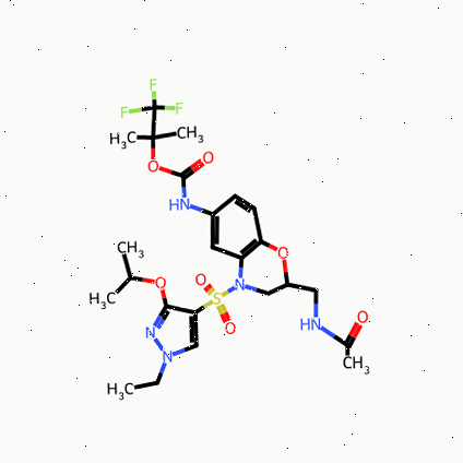 CCn1cc(S(=O)(=O)N2CC(CNC(C)=O)Oc3ccc(NC(=O)OC(C)(C)C(F)(F)F)cc32)c(OC(C)C)n1